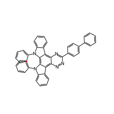 c1ccc(-c2ccc(-c3nnc4c(n3)c3c5ccccc5n(-c5ccccc5)c3c3c4c4ccccc4n3-c3ccccc3)cc2)cc1